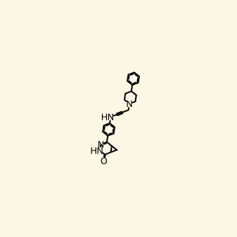 O=C1NN=C(c2ccc(NC#CCN3CCC(c4ccccc4)CC3)cc2)C2CC12